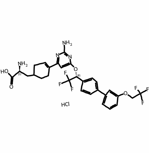 Cl.Nc1nc(O[C@H](c2ccc(-c3cccc(OCC(F)(F)F)c3)cc2)C(F)(F)F)cc(C2=CCC(C[C@H](N)C(=O)O)CC2)n1